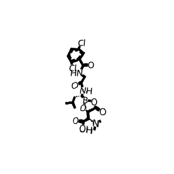 CC(C)C[C@H](NC(=O)CNC(=O)c1cc(Cl)ccc1Cl)B1OC(=O)[C@@H]([C@H](C(=O)O)N(C)C)O1